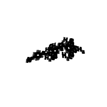 CNc1cc(C2CCC(c3cc(OC)c(OC)c(OC)c3)S2)cc(OC)c1OCCSc1ccc(C#N)cc1